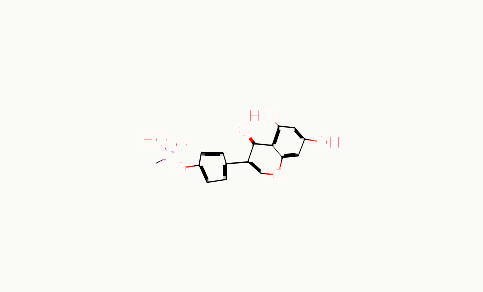 CP(=O)(O)Oc1ccc(-c2coc3cc(O)cc(O)c3c2=O)cc1